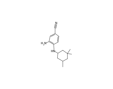 CC1CC(Nc2ccc(C#N)cc2N)CC(C)(C)C1